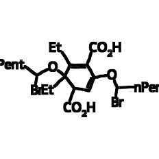 CCCCCC(Br)OC1=CC(C(=O)O)C(CC)(OC(Br)CCCCC)C(CC)=C1C(=O)O